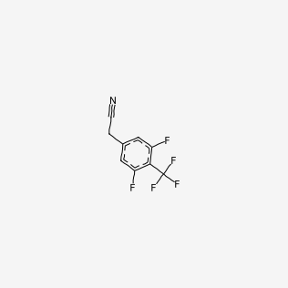 N#CCc1cc(F)c(C(F)(F)F)c(F)c1